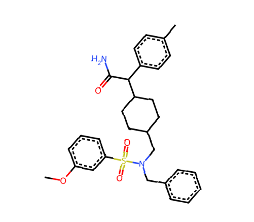 COc1cccc(S(=O)(=O)N(Cc2ccccc2)CC2CCC(C(C(N)=O)c3ccc(C)cc3)CC2)c1